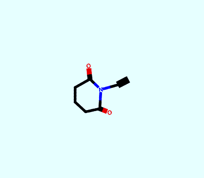 C#CN1C(=O)CCCC1=O